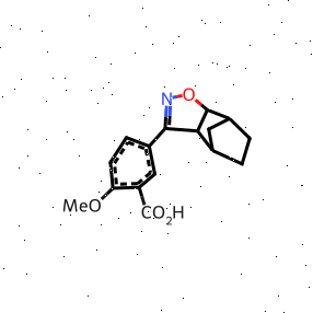 COc1ccc(C2=NOC3C4CCC(C4)C23)cc1C(=O)O